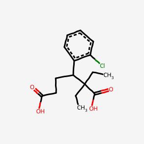 CCC(CC)(C(=O)O)C(CCC(=O)O)c1ccccc1Cl